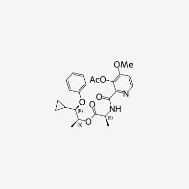 COc1ccnc(C(=O)N[C@@H](C)C(=O)O[C@@H](C)[C@H](Oc2ccccc2)C2CC2)c1OC(C)=O